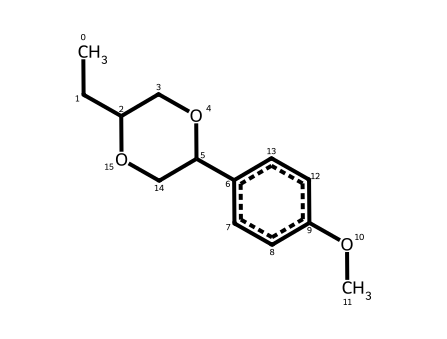 CCC1COC(c2ccc(OC)cc2)CO1